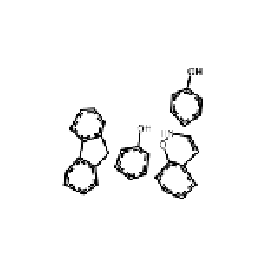 C1=Cc2ccccc2ON1.Oc1ccccc1.Oc1ccccc1.c1ccc2c(c1)Cc1ccccc1-2